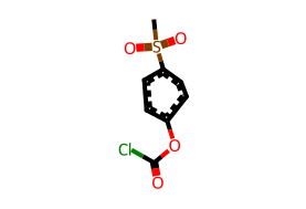 CS(=O)(=O)c1ccc(OC(=O)Cl)cc1